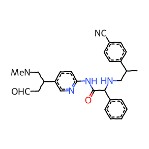 CNCC(CC=O)c1ccc(NC(=O)C(NCC(C)c2ccc(C#N)cc2)c2ccccc2)nc1